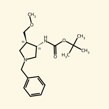 COC[C@@H]1CN(Cc2ccccc2)C[C@H]1NC(=O)OC(C)(C)C